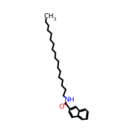 CCCCCCCCCCCCCCCCCCNC(=O)c1ccc2ccccc2c1